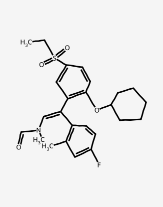 CCS(=O)(=O)c1ccc(OC2CCCCC2)c(/C(=C/N(C)C=O)c2ccc(F)cc2C)c1